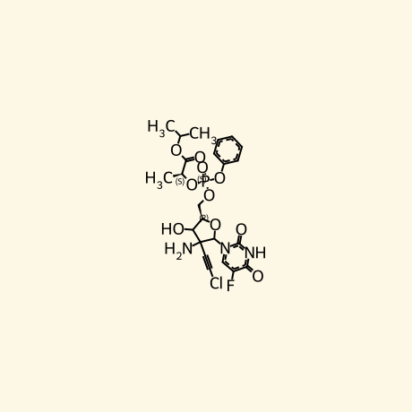 CC(C)OC(=O)[C@H](C)O[P@](=O)(OC[C@H]1OC(n2cc(F)c(=O)[nH]c2=O)C(N)(C#CCl)C1O)Oc1ccccc1